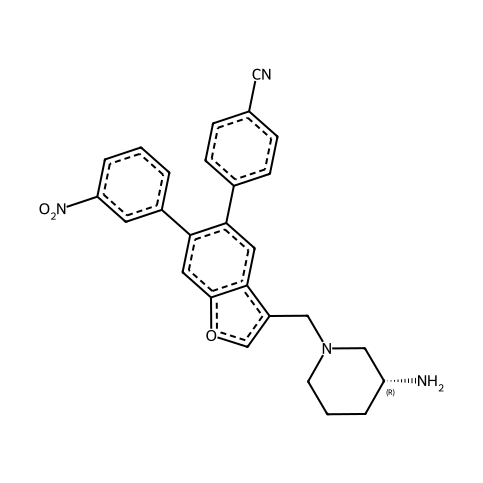 N#Cc1ccc(-c2cc3c(CN4CCC[C@@H](N)C4)coc3cc2-c2cccc([N+](=O)[O-])c2)cc1